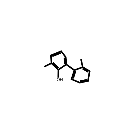 Cc1ccccc1-c1cccc(C)c1O